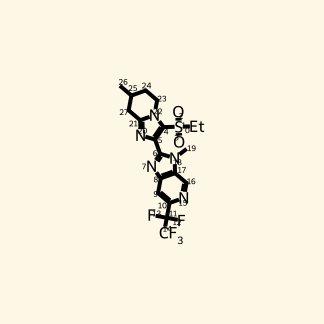 CCS(=O)(=O)c1c(-c2nc3cc(C(F)(F)C(F)(F)F)ncc3n2C)nc2n1CCC(C)C2